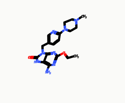 CCOc1nc(N)c2[nH]c(=O)n(Cc3ccc(N4CCN(C)CC4)nc3)c2n1